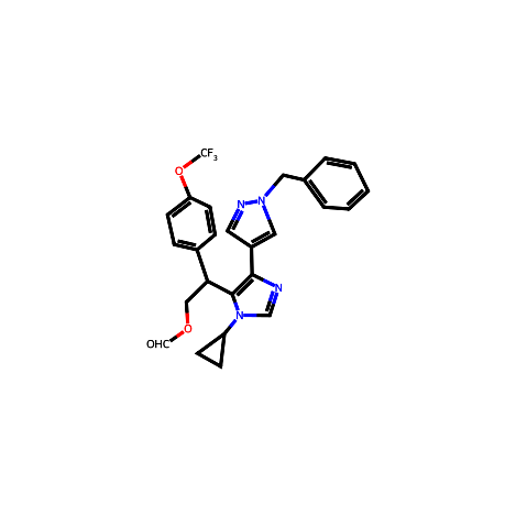 O=COCC(c1ccc(OC(F)(F)F)cc1)c1c(-c2cnn(Cc3ccccc3)c2)ncn1C1CC1